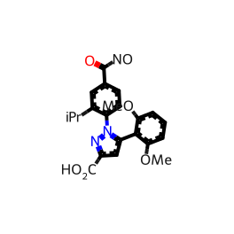 COc1cccc(OC)c1-c1cc(C(=O)O)nn1-c1ccc(C(=O)N=O)cc1C(C)C